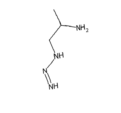 CC(N)CNN=N